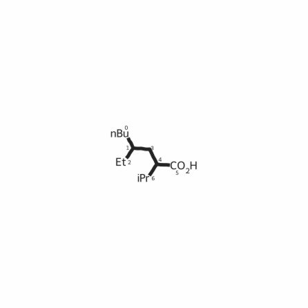 CCCCC(CC)CC(C(=O)O)C(C)C